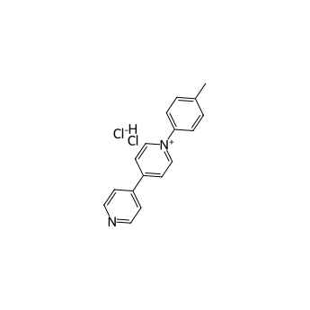 Cc1ccc(-[n+]2ccc(-c3ccncc3)cc2)cc1.Cl.[Cl-]